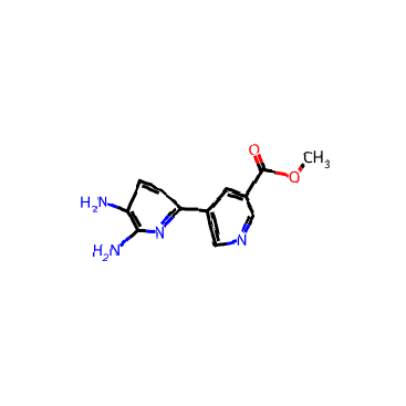 COC(=O)c1cncc(-c2ccc(N)c(N)n2)c1